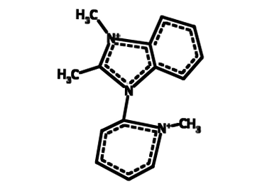 Cc1n(-c2cccc[n+]2C)c2ccccc2[n+]1C